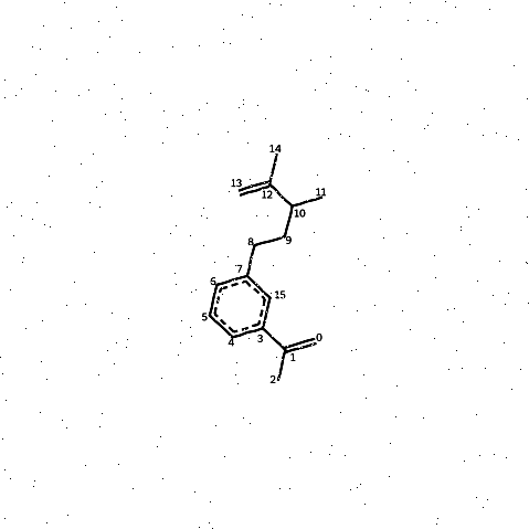 C=C(C)c1cccc(CCC(C)C(=C)C)c1